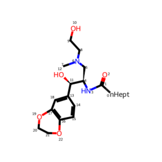 CCCCCCCC(=O)N[C@H](CN(C)CCO)[C@H](O)c1ccc2c(c1)OCCO2